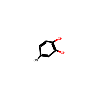 O=Nc1ccc(O)c(O)c1